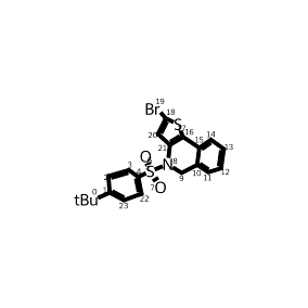 CC(C)(C)c1ccc(S(=O)(=O)N2Cc3ccccc3-c3sc(Br)cc32)cc1